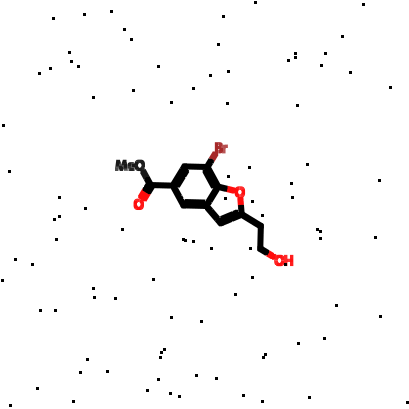 COC(=O)c1cc(Br)c2oc(CCO)cc2c1